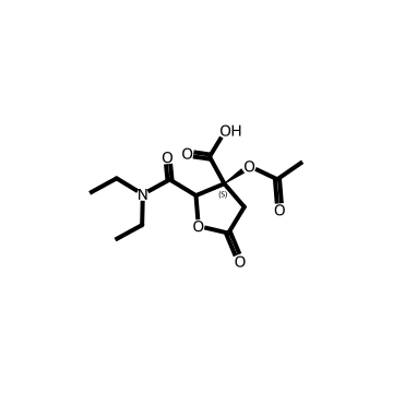 CCN(CC)C(=O)C1OC(=O)C[C@@]1(OC(C)=O)C(=O)O